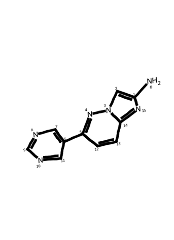 Nc1cn2nc(-c3cncnc3)ccc2n1